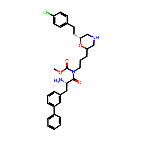 COC(=O)N(CCCC1CNC[C@@H](CCc2ccc(Cl)cc2)O1)C(=O)[C@@H](N)Cc1cccc(-c2ccccc2)c1